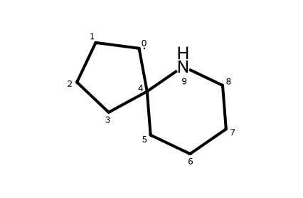 [CH]1CCCC12CCCCN2